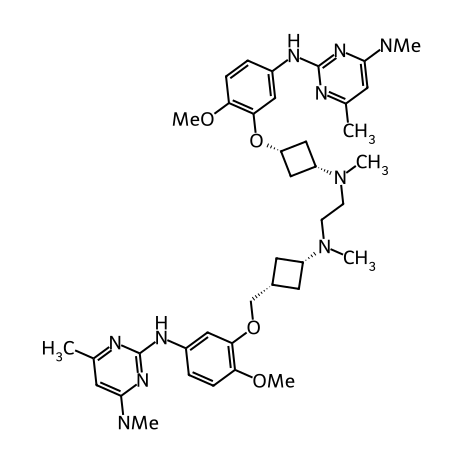 CNc1cc(C)nc(Nc2ccc(OC)c(OC[C@H]3C[C@@H](N(C)CCN(C)[C@H]4C[C@@H](Oc5cc(Nc6nc(C)cc(NC)n6)ccc5OC)C4)C3)c2)n1